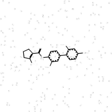 COc1ccc(-c2ccc(NC(=O)C3=C(C(=O)O)CCC3)c(OC)c2)c(OC)c1